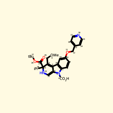 COCC1=c2c(n(C(=O)O)c3ccc(OCc4ccncc4)cc23)=CNC1(C(=O)OC(C)(C)C)C(C)C